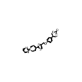 O=S1OCC(c2ccc(OCc3csc(C4CCN(c5ncccn5)CC4)n3)cc2)CO1